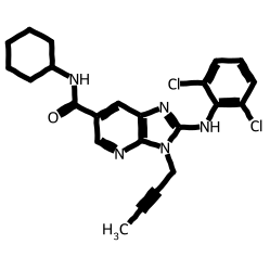 CC#CCn1c(Nc2c(Cl)cccc2Cl)nc2cc(C(=O)NC3CCCCC3)cnc21